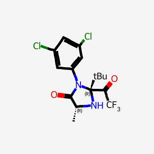 C[C@H]1N[C@](C(=O)C(F)(F)F)(C(C)(C)C)N(c2cc(Cl)cc(Cl)c2)C1=O